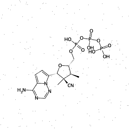 C[C@@H]1[C@@H](COP(=O)(O)OP(=O)(O)OP(=O)(O)O)O[C@@H](c2ccc3c(N)ncnn23)[C@]1(C)C#N